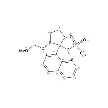 COCOC1CCCS1(OS(=O)(=O)C(F)(F)F)c1cccc2ccccc12